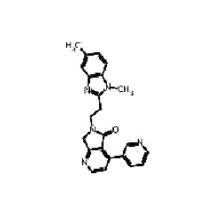 Cc1ccc2c(c1)nc(CCN1Cc3nccc(-c4cccnc4)c3C1=O)n2C